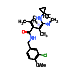 C=N/C(NC1(C)CC1)=C(\C)C(C(=O)NCc1ccc(OC)c(Cl)c1)=C(C)C